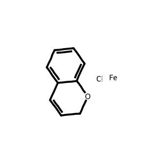 C1=Cc2ccccc2OC1.[C].[Fe]